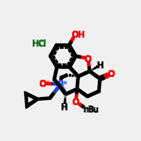 CCCCOC12CCC(=O)[C@@H]3Oc4c(O)ccc5c4[C@@]31CC[N+]([O-])(CC1CC1)[C@@H]2C5.Cl